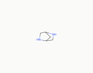 [CH]1C2CNC1CN2